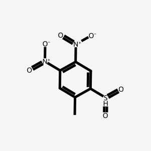 Cc1cc([N+](=O)[O-])c([N+](=O)[O-])cc1[SH](=O)=O